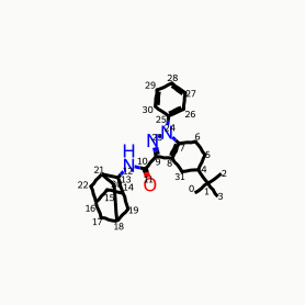 CC(C)(C)C1CCc2c(c(C(=O)NC3C4CC5CC(C4)CC3C5)nn2-c2ccccc2)C1